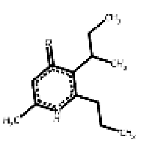 CCCc1[nH]c(C)cc(=O)c1C(C)CC